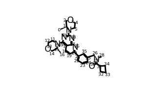 C[C@H]1COCCN1c1nc(N2CCOC[C@@H]2C)c2ccc(-c3cccc(CN(C)C(=O)C4CCC4)c3)nc2n1